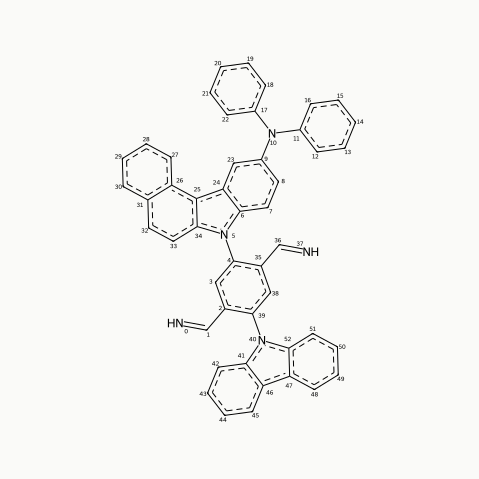 N=Cc1cc(-n2c3ccc(N(c4ccccc4)c4ccccc4)cc3c3c4ccccc4ccc32)c(C=N)cc1-n1c2ccccc2c2ccccc21